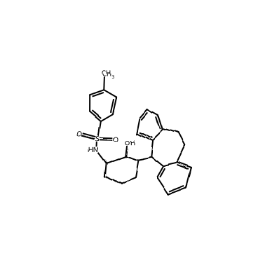 Cc1ccc(S(=O)(=O)NC2CCCC(C3c4ccccc4CCc4ccccc43)C2O)cc1